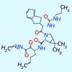 C=CCCC(NC(=O)[C@@H]1C2C(CN1C(=O)[C@@H](NC(=O)NCCC)C1Cc3ccccc3C1)C2(C)C)C(=O)C(=O)NCC=C